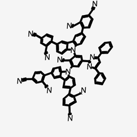 N#Cc1ccc(-c2ccc3c(c2)c2cc(-c4ccc(C#N)cc4C#N)ccc2n3-c2cc(-c3nc(-c4ccccc4)cc(-c4ccccc4)n3)cc(-n3c4ccc(-c5ccc(C#N)cc5C#N)cc4c4cc(-c5ccc(C#N)cc5C#N)ccc43)c2C#N)c(C#N)c1